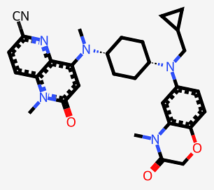 CN1C(=O)COc2ccc(N(CC3CC3)[C@H]3CC[C@@H](N(C)c4cc(=O)n(C)c5ccc(C#N)nc45)CC3)cc21